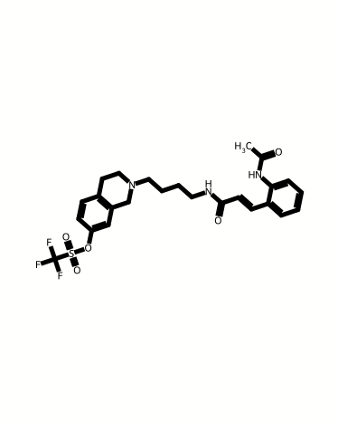 CC(=O)Nc1ccccc1/C=C/C(=O)NCCCCN1CCc2ccc(OS(=O)(=O)C(F)(F)F)cc2C1